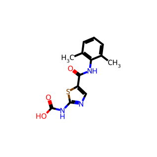 Cc1cccc(C)c1NC(=O)c1cnc(NC(=O)O)s1